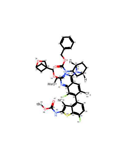 COCCN(C(=O)OCc1ccccc1)C1C[C@H]2CC[C@@H]1N2c1nc(OCC23COC(C2)C3)nc2c(F)c(-c3ccc(F)c4sc(NC(=O)OC(C)(C)C)c(C#N)c34)c(C(F)(F)F)cc12